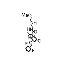 COCCNCCNC(=O)c1c(C)nc2c(OCc3c(F)cccc3F)cc(Cl)cn12